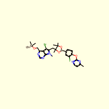 Cc1ccnc(Oc2ccc(B3OC(C)(C)C(C)(Cc4c(Br)c5c(CO[Si](C)(C)C(C)(C)C)ncnc5n4C)O3)cc2F)n1